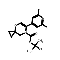 CC(C)(C)OC(=O)N1CC2(CC2)OC=C1c1cc(Cl)nc(Cl)c1